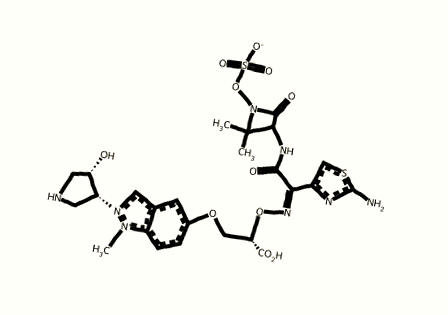 C[n+]1c2ccc(OC[C@H](O/N=C(\C(=O)NC3C(=O)N(OS(=O)(=O)[O-])C3(C)C)c3csc(N)n3)C(=O)O)cc2cn1[C@@H]1CNC[C@@H]1O